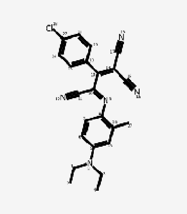 CCN(CC)c1ccc(/N=C(\C#N)C(=C(C#N)C#N)c2ccc(Cl)cc2)c(C)c1